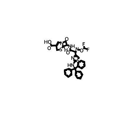 O=C(O)C1=CN2C(=O)C(NC(=O)C(=NOC(F)F)c3csc(NC(c4ccccc4)(c4ccccc4)c4ccccc4)n3)[C@H]2SC1